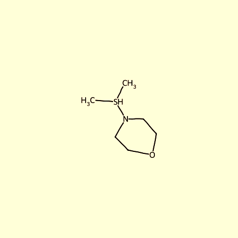 C[SH](C)N1CCOCC1